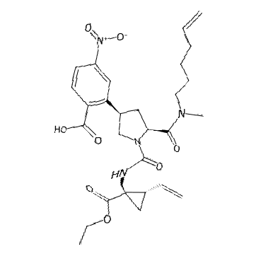 C=CCCCCN(C)C(=O)[C@@H]1C[C@H](c2cc([N+](=O)[O-])ccc2C(=O)O)CN1C(=O)N[C@]1(C(=O)OCC)C[C@H]1C=C